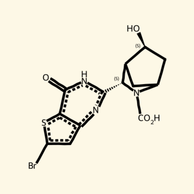 O=C(O)N1C2CC([C@H]1c1nc3cc(Br)sc3c(=O)[nH]1)[C@@H](O)C2